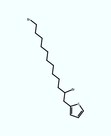 BrCCCCCCCCCCC(Br)Cc1cccs1